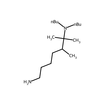 CCCCN(CCCC)C(C)(C)C(C)CCCCN